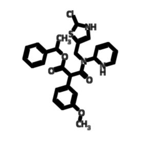 COc1cccc(C(C(=O)OC(C)c2ccccc2)C(=O)N(CC2=CNC(Cl)S2)C2C=CC=CN2)c1